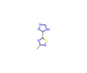 Cc1nsc(-c2nn[c][nH]2)n1